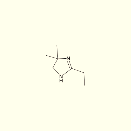 CCC1=NC(C)(C)CN1